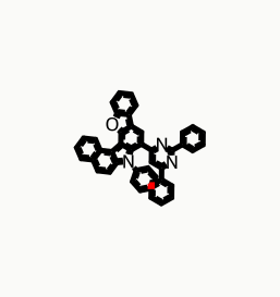 c1ccc(-c2cc(-c3cc4c5ccccc5oc4c4c5c6ccccc6ccc5n(-c5ccccc5)c34)nc(-c3ccccc3)n2)cc1